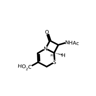 CC(=O)NC1C(=O)N2C=C(C(=O)O)CS[C@H]12